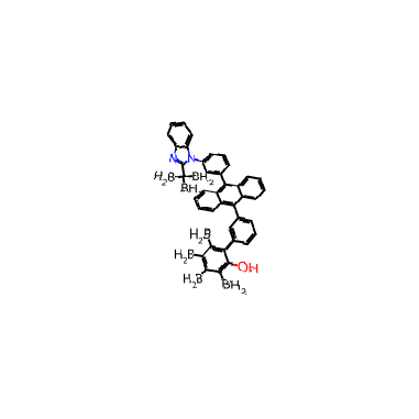 Bc1c(B)c(B)c(-c2cccc(-c3c4ccccc4c(-c4cccc(-n5c(C(B)(B)B)nc6ccccc65)c4)c4ccccc34)c2)c(O)c1B